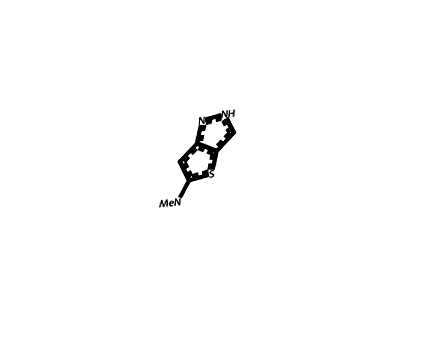 CNc1cc2n[nH]cc2s1